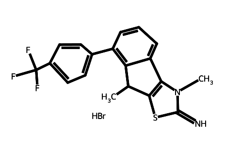 Br.CC1c2sc(=N)n(C)c2-c2cccc(-c3ccc(C(F)(F)F)cc3)c21